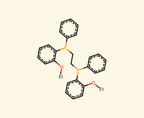 CCOc1ccccc1P(CCP(c1ccccc1)c1ccccc1OCC)c1ccccc1